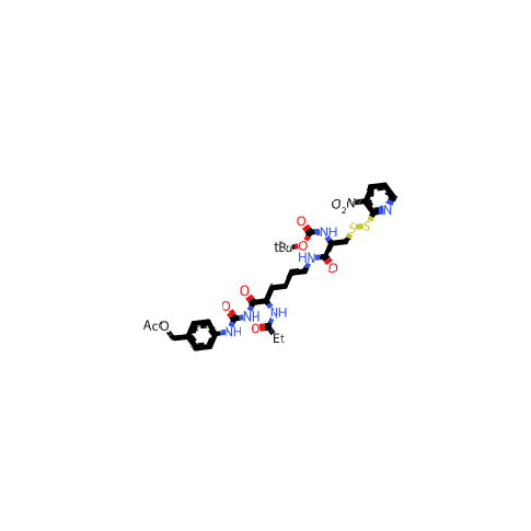 CCC(=O)NC(CCCCNC(=O)C(CSSc1ncccc1[N+](=O)[O-])NC(=O)OC(C)(C)C)C(=O)NC(=O)Nc1ccc(COC(C)=O)cc1